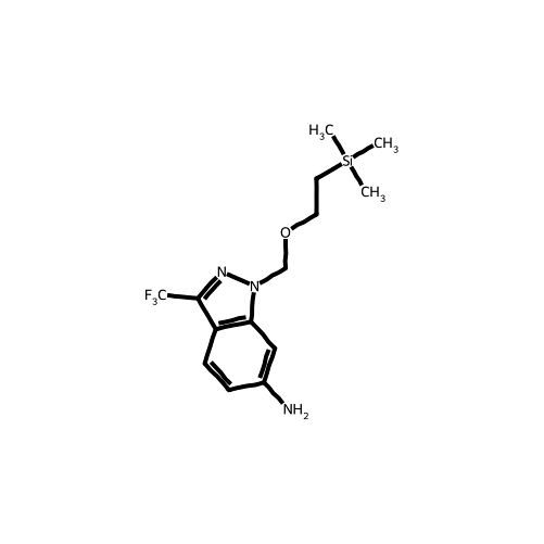 C[Si](C)(C)CCOCn1nc(C(F)(F)F)c2ccc(N)cc21